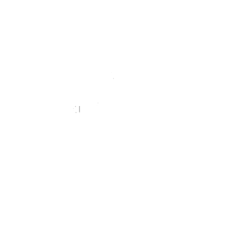 [Cl][Rh]([Cl])[c]1ccccc1